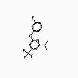 CC(C)c1cc(C(F)(F)F)cc(Oc2cccc(F)c2)n1